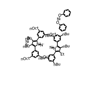 CCCCC1=C(c2cc(CCCC)cc(CCCC)c2)[N+](=[N-])C(c2cc(CCCC)cc(CCCC)c2)=C1CC.CCCCCCCCc1cc(CCCCCCCC)cc(C2=C(CCCC)C(CCCC)=C(c3cc(CCCCCCCC)cc(CCCCCCCC)c3)[N+]2=[N-])c1.[Br][Ni][Br].c1ccc([O][Ni][O]c2ccccc2)cc1